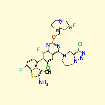 N#Cc1c(N)sc2c(F)ccc(-c3c(Cl)cc4c(N5CCCn6nnc(Cl)c6C5)nc(OC[C@@]56CCCN5C[C@H](F)C6)nc4c3F)c12